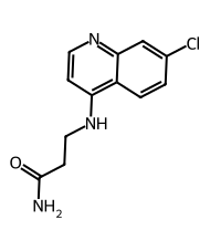 NC(=O)CCNc1ccnc2cc(Cl)ccc12